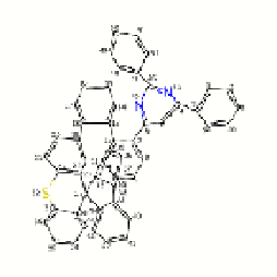 c1ccc(-c2cc(-c3ccccc3-c3ccccc3-c3ccc4c(c3)C3(c5ccccc5S4)c4ccccc4-c4ccccc43)nc(-c3ccccc3)n2)cc1